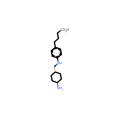 N[C@H]1CC[C@H](CNc2ccc(CCCC(=O)O)cc2)CC1